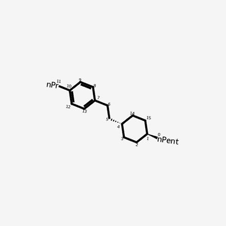 CCCCC[C@H]1CC[C@H](CCc2ccc(CCC)cc2)CC1